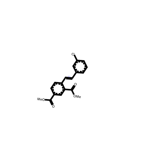 COC(=O)c1ccc(/C=C/c2cccc(Cl)c2)c(C(=O)OC)c1